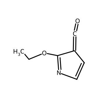 CCOC1=NC=CC1=C=O